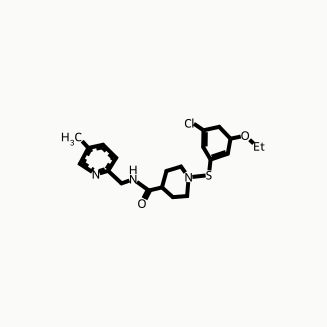 CCOC1C=C(SN2CCC(C(=O)NCc3ccc(C)cn3)CC2)C=C(Cl)C1